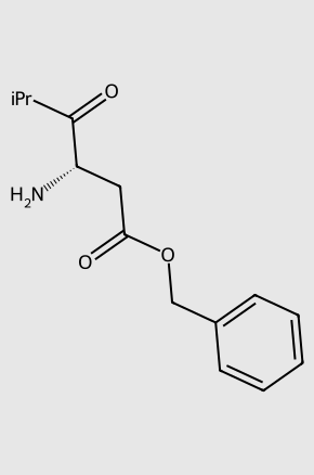 CC(C)C(=O)[C@@H](N)CC(=O)OCc1ccccc1